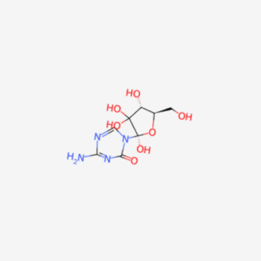 Nc1ncn([C@]2(O)O[C@H](CO)[C@@H](O)C2(O)O)c(=O)n1